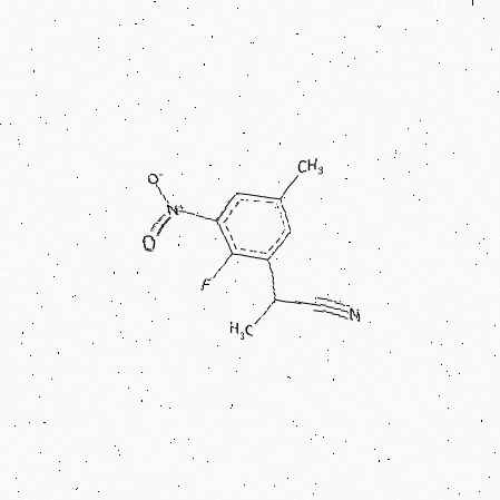 Cc1cc(C(C)C#N)c(F)c([N+](=O)[O-])c1